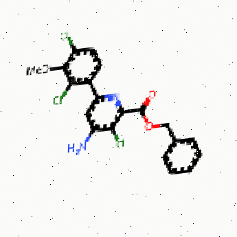 COc1c(Cl)ccc(-c2cc(N)c(Cl)c(C(=O)OCc3ccccc3)n2)c1Cl